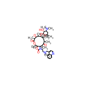 CCC1OC(=O)C(C)C(=O)C(C)[C@@H](OC2OC(C)CC(N(C)C)[C@H]2O)[C@@](C)(OC)CC(C)C(=O)C(C)[C@H]2N(CCN(C)Cc3ccnc4ccccc34)C(=O)O[C@]12CC